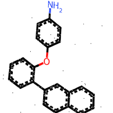 Nc1ccc(Oc2ccccc2-c2ccc3ccccc3c2)cc1